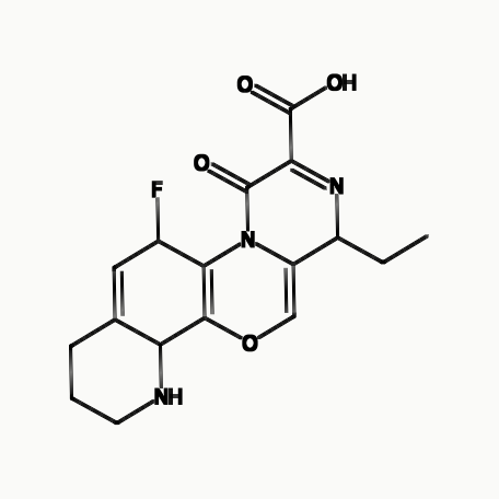 CCC1N=C(C(=O)O)C(=O)N2C1=COC1=C2C(F)C=C2CCCNC21